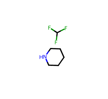 C1CCNCC1.FC(F)F